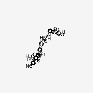 CCc1cc2c(cc1N1CCC(N3CCN(CC(=O)NCCNc4cccc5c4CN(C4CCC(=O)NC4=O)C5=O)CC3)CC1)C(C)(C)c1[nH]c3cc(C#N)ccc3c1C2=O